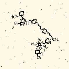 CCc1cnn2c(NCc3ccc(OCCCN4CCN(CCCN(C)c5ncc(C(=O)NC6C(C)(C)C(Oc7ccc(C#N)c(Cl)c7)C6(C)C)cn5)CC4)nc3)cc(N3CCCC[C@H]3CCO)nc12